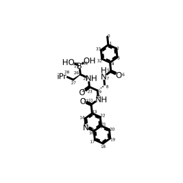 Cc1ccc(C(=O)NC[C@H](NC(=O)c2cnc3ccccc3c2)C(=O)N[C@@H](CC(C)C)B(O)O)cc1